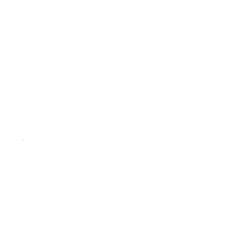 O=C(O)CCCOC1CCc2ccccc21